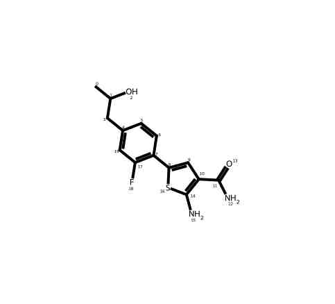 CC(O)Cc1ccc(-c2cc(C(N)=O)c(N)s2)c(F)c1